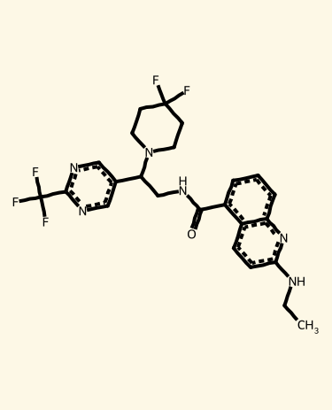 CCNc1ccc2c(C(=O)NCC(c3cnc(C(F)(F)F)nc3)N3CCC(F)(F)CC3)cccc2n1